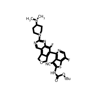 CN(C)C1CCN(c2ncc3c4c(c(-c5ncc(F)c6sc(NC(=O)OC(C)(C)C)c(C#N)c56)c(F)c3n2)COC4)CC1